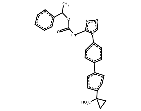 CC(OC(=O)Nc1nncn1-c1ccc(-c2ccc(C3(C(=O)O)CC3)cc2)cc1)c1ccccc1